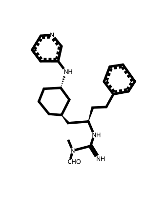 CN(C=O)C(=N)N[C@H](CCc1ccccc1)C[C@H]1CCC[C@H](Nc2cccnc2)C1